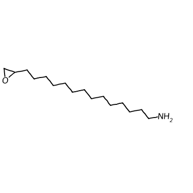 NCCCCCCCCCCCCCCC1CO1